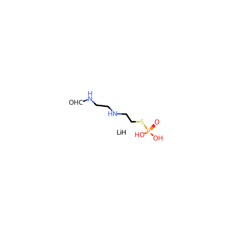 O=CNCCNCCSP(=O)(O)O.[LiH]